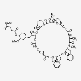 COC(=O)CCC(=O)O[C@@H]1CC[C@@H](C[C@@H](C)[C@@H]2CC(=O)NCCNC(=O)CN(C)C(=O)[C@H](Cc3ccccc3)NC(=O)[C@H](Cc3ccccc3)N(C)C(=O)[C@H](C)NC(=O)CC[C@@H]3CC[C@@H](C)[C@@](O)(O3)C(=O)C(=O)N3CCCC[C@H]3C(=O)O2)C[C@H]1OC